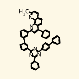 Cc1ccc2ccc3c(-c4ccccc4)cc(-c4cccc(-c5cccc(-c6nc(-c7ccccc7)nc(-c7ccc(-c8ccccc8)cc7)n6)c5)c4)nc3c2n1